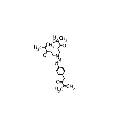 C=C(C)C(=O)CCN(CCC(=O)C(=C)C)N=Nc1ccc(CC(=O)C(=C)C)cc1